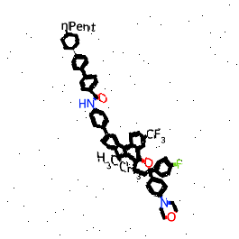 CCCCC[C@H]1CC[C@H](c2ccc(-c3ccc(C(=O)Nc4ccc(-c5ccc6c(c5)-c5c(c7c(c8cc(C(F)(F)F)ccc58)OC(c5ccc(F)cc5)(c5ccc(N8CCOCC8)cc5)C=C7)C6(C)C)cc4)cc3)cc2)CC1